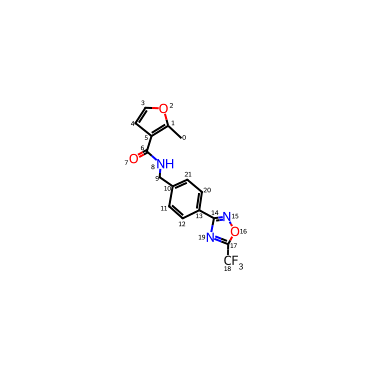 Cc1occc1C(=O)NCc1ccc(-c2noc(C(F)(F)F)n2)cc1